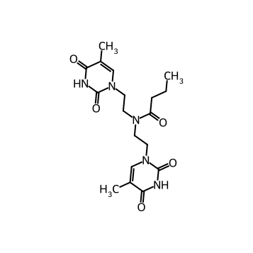 CCCC(=O)N(CCn1cc(C)c(=O)[nH]c1=O)CCn1cc(C)c(=O)[nH]c1=O